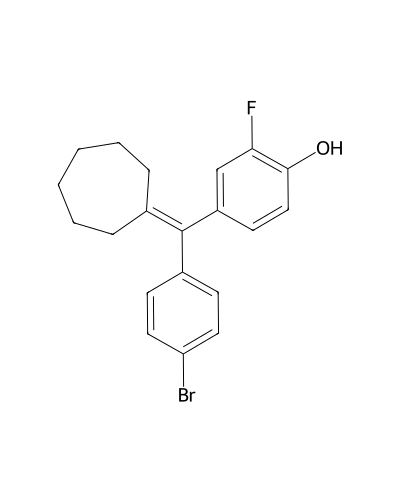 Oc1ccc(C(=C2CCCCCC2)c2ccc(Br)cc2)cc1F